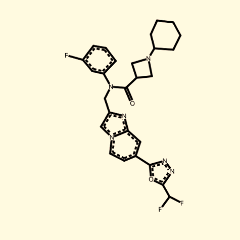 O=C(C1CN(C2CCCCC2)C1)N(Cc1cn2ccc(-c3nnc(C(F)F)o3)cc2n1)c1cccc(F)c1